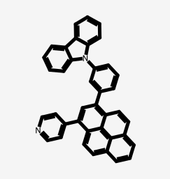 c1cc(-c2cc(-c3ccncc3)c3ccc4cccc5ccc2c3c45)cc(-n2c3ccccc3c3ccccc32)c1